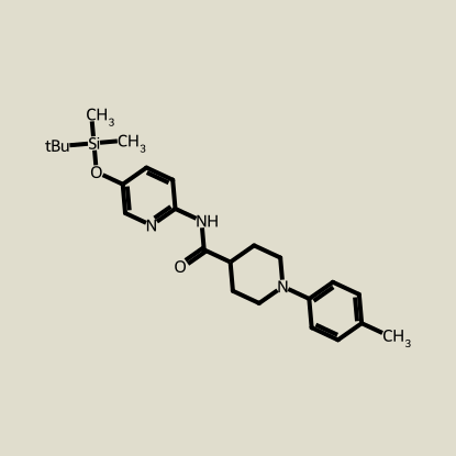 Cc1ccc(N2CCC(C(=O)Nc3ccc(O[Si](C)(C)C(C)(C)C)cn3)CC2)cc1